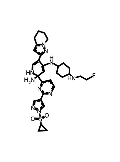 NC1(c2ccnc(-c3cnn(S(=O)(=O)C4CC4)c3)n2)C=C(NC2CCC(NCCF)CC2)C(c2cc3n(n2)CCCC3)=CN1